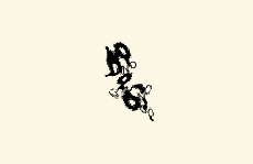 CCOC(=O)CN1C(=O)CCN(C(=O)c2ccc(NC(=O)c3ccccc3-c3ccc(C)cc3C)cc2)c2ccccc21